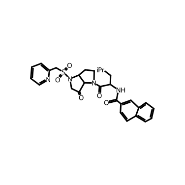 CC(C)CC(NC(=O)c1ccc2ccccc2c1)C(=O)N1CCC2C1C(=O)CN2S(=O)(=O)Cc1ccccn1